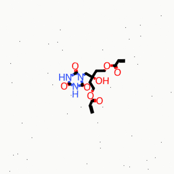 C=CC(=O)OCCC(O)(CCOC(=O)C=C)Cn1c(=O)[nH]c(=O)[nH]c1=O